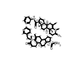 CC1=C2N(C)C(=O)CC[C@]2(C)[C@H]2CC[C@]3(C)[C@@H](C(=O)Nc4cccnc4)CC[C@H]3[C@@H]2C1.CC1=C2[C@](C)(CCC(=O)[N+]2(C)Cc2cccnc2)C2CC[C@@]3(C)C(CC[C@@H]3C(N)=O)C2C1